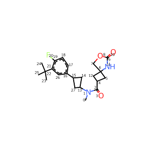 CN(C(=O)C1CC2(COC(=O)N2)C1)C1CC(c2ccc(F)c(C(C)(C)C)c2)C1